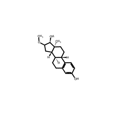 COC1C[C@H]2[C@@H]3CCc4cc(O)ccc4[C@H]3CC[C@]2(C)[C@@H]1O